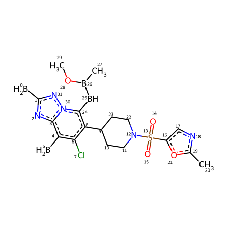 Bc1nc2c(B)c(Cl)c(C3CCN(S(=O)(=O)c4cnc(C)o4)CC3)c(BB(C)OC)n2n1